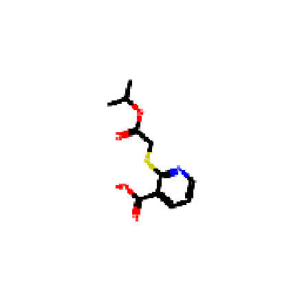 CC(C)OC(=O)CSc1ncccc1C(=O)O